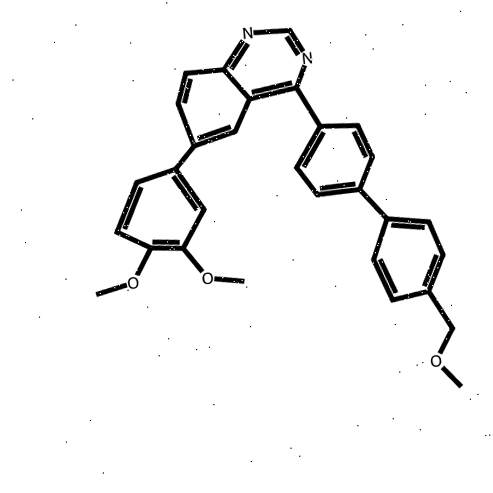 COCc1ccc(-c2ccc(-c3ncnc4ccc(-c5ccc(OC)c(OC)c5)cc34)cc2)cc1